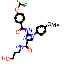 COc1ccc(-n2cc(C(=O)NCCCO)nc2NC(=O)c2ccc(OC(F)F)cc2)cc1